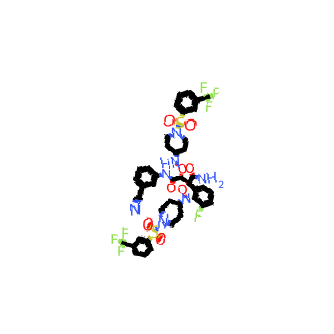 N#Cc1cccc(NC(=O)C(ON=C2CCN(S(=O)(=O)c3cccc(C(F)(F)F)c3)CC2)C(ON=C2CCN(S(=O)(=O)c3cccc(C(F)(F)F)c3)CC2)(C(N)=O)c2cccc(F)c2)c1